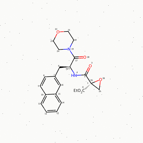 CCOC(=O)[C@@]1(C(=O)N[C@@H](Cc2ccc3ccccc3c2)C(=O)N2CCOCC2)CO1